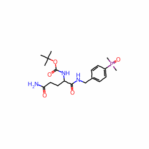 CC(C)(C)OC(=O)NC(CCC(N)=O)C(=O)NCc1ccc(P(C)(C)=O)cc1